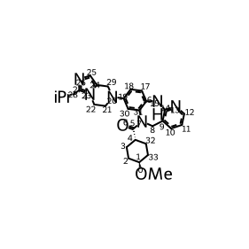 CO[C@H]1CC[C@H](C(=O)N2Cc3cccnc3Nc3ccc(N4CCn5c(cnc5C(C)C)C4)cc32)CC1